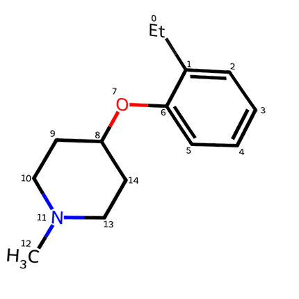 CCc1ccccc1OC1CCN(C)CC1